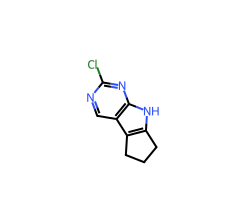 Clc1ncc2c3c([nH]c2n1)CCC3